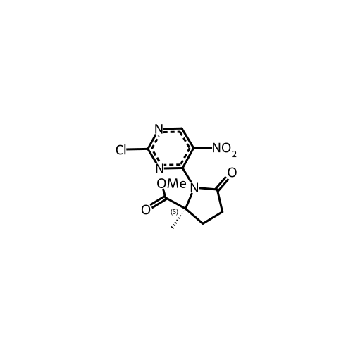 COC(=O)[C@]1(C)CCC(=O)N1c1nc(Cl)ncc1[N+](=O)[O-]